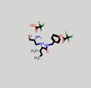 CC[C@H](C)[C@H](NC[C@@H](N)CS)C(=O)NCc1ccccc1.O=C(O)C(F)(F)F.O=C(O)C(F)(F)F